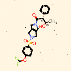 C[C@@H](O)[C@H](C(=O)N1CC2=C(C1)CN(S(=O)(=O)c1ccc(OC(F)F)cc1)C2)c1ccccc1